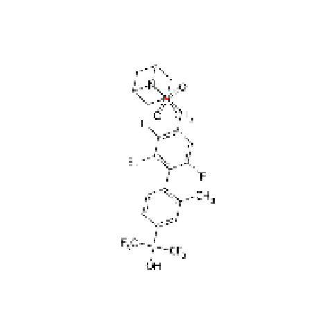 CCc1c(F)c(CN2CC3CC(C2)N3S(C)(=O)=O)cc(F)c1-c1ccc(C(O)(C(F)(F)F)C(F)(F)F)cc1C